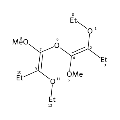 CCOC(CC)=C(OC)OC(OC)=C(CC)OCC